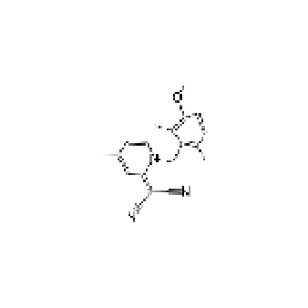 COc1ccc(C)c(CN2C=CC(C)=CC2=C(C#N)C#N)c1C